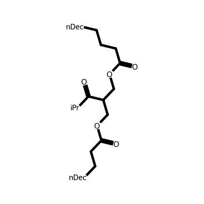 CCCCCCCCCCCCCC(=O)OCC(COC(=O)CCCCCCCCCCCC)C(=O)C(C)C